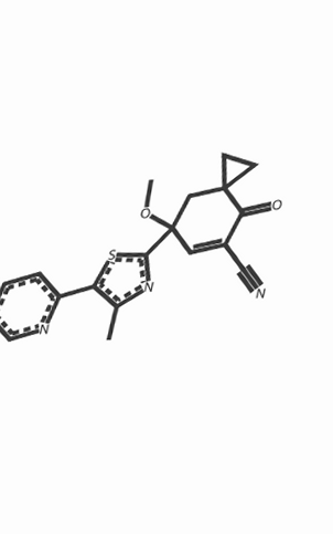 COC1(c2nc(C)c(-c3ccccn3)s2)C=C(C#N)C(=O)C2(CC2)C1